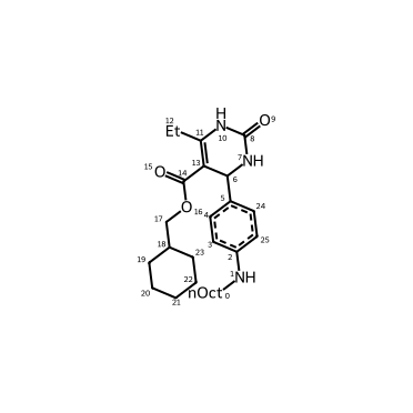 CCCCCCCCNc1ccc(C2NC(=O)NC(CC)=C2C(=O)OCC2CCCCC2)cc1